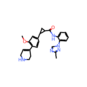 COc1cc(C2CC2C(=O)Nc2ccccc2-n2cnc(C)n2)ccc1C1=CCNCC1